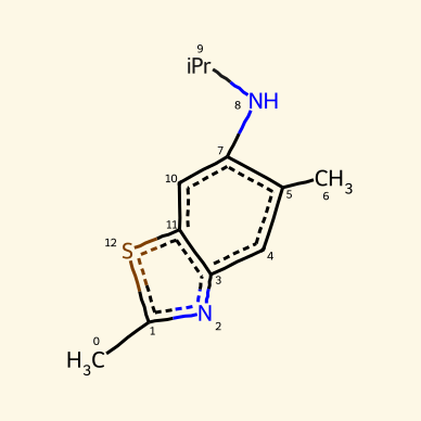 Cc1nc2cc(C)c(NC(C)C)cc2s1